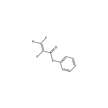 O=C(Sc1ccccc1)C(F)=C(F)F